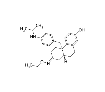 CCON=C1CC[C@@]2(Cc3ccc(NC(C)C)cc3)c3ccc(O)cc3CC[C@@H]2C1